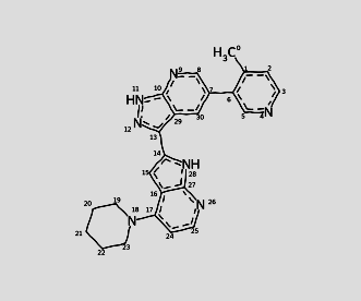 Cc1ccncc1-c1cnc2[nH]nc(-c3cc4c(N5CCCCC5)ccnc4[nH]3)c2c1